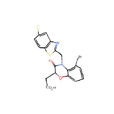 CC(C)c1cccc2c1N(Cc1nc3cc(F)ccc3s1)C(=O)C(CC(=O)O)O2